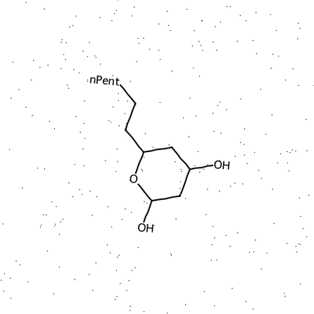 CCCCCCCC1CC(O)CC(O)O1